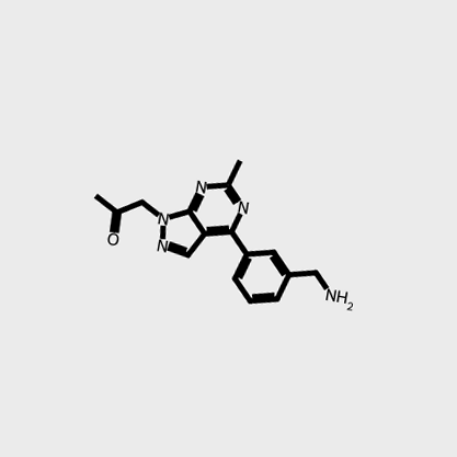 CC(=O)Cn1ncc2c(-c3cccc(CN)c3)nc(C)nc21